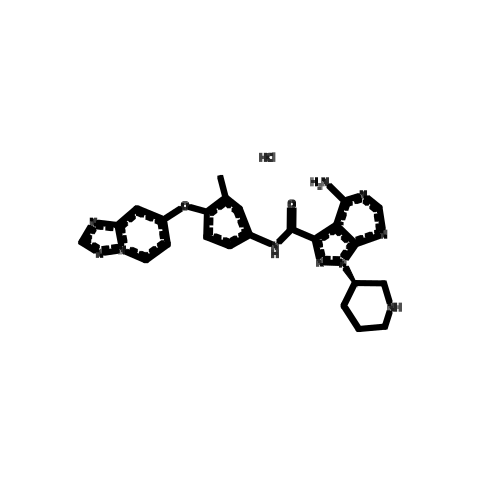 Cc1cc(NC(=O)c2nn([C@@H]3CCCNC3)c3ncnc(N)c23)ccc1Oc1ccn2ncnc2c1.Cl